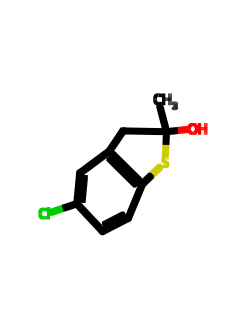 CC1(O)Cc2cc(Cl)ccc2S1